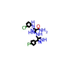 NC(=O)c1c(Nc2cccc(Cl)c2)n[nH]c1NCc1c[nH]nc1-c1ccc(F)cc1